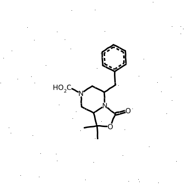 CC1(C)OC(=O)N2C(Cc3ccccc3)CN(C(=O)O)CC21